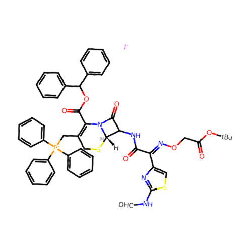 CC(C)(C)OC(=O)CON=C(C(=O)NC1C(=O)N2C(C(=O)OC(c3ccccc3)c3ccccc3)=C(C[P+](c3ccccc3)(c3ccccc3)c3ccccc3)CS[C@@H]12)c1csc(NC=O)n1.[I-]